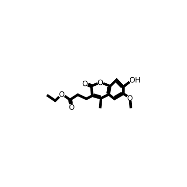 CCOC(=O)CCc1c(C)c2cc(OC)c(O)cc2oc1=O